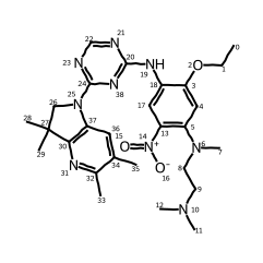 CCOc1cc(N(C)CCN(C)C)c([N+](=O)[O-])cc1Nc1ncnc(N2CC(C)(C)c3nc(C)c(C)cc32)n1